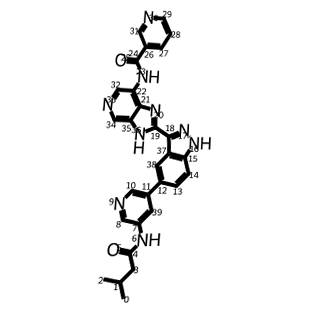 CC(C)CC(=O)Nc1cncc(-c2ccc3[nH]nc(-c4nc5c(NC(=O)c6cccnc6)cncc5[nH]4)c3c2)c1